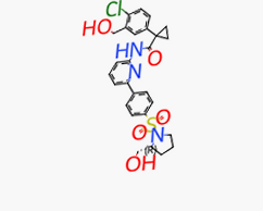 O=C(Nc1cccc(-c2ccc(S(=O)(=O)N3CCC[C@@H]3CO)cc2)n1)C1(c2ccc(Cl)c(CO)c2)CC1